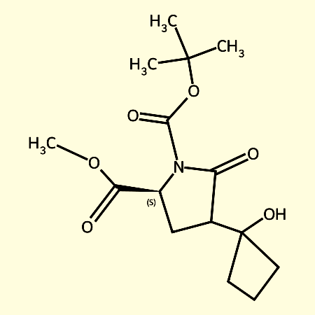 COC(=O)[C@@H]1CC(C2(O)CCC2)C(=O)N1C(=O)OC(C)(C)C